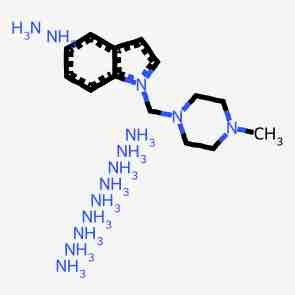 CN1CCN(Cn2ccc3ccccc32)CC1.N.N.N.N.N.N.N.N.N.N.N